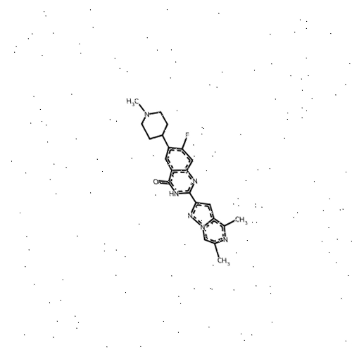 Cc1cn2nc(-c3nc4cc(F)c(C5CCN(C)CC5)cc4c(=O)[nH]3)cc2c(C)n1